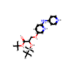 CC(C)(C)OC(=O)C(COc1ccc(Nc2ccncc2)nc1)O[Si](C)(C)C(C)(C)C